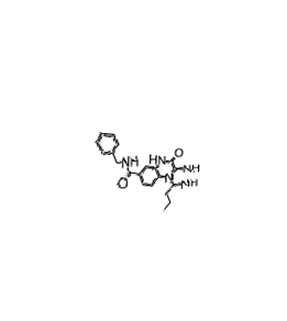 CCCC(=N)n1c(=N)c(=O)[nH]c2cc(C(=O)NCc3ccccc3)ccc21